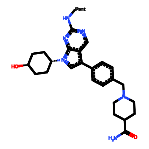 CCCC(C)Nc1ncc2c(-c3ccc(CN4CCC(C(N)=O)CC4)cc3)cn([C@H]3CC[C@H](O)CC3)c2n1